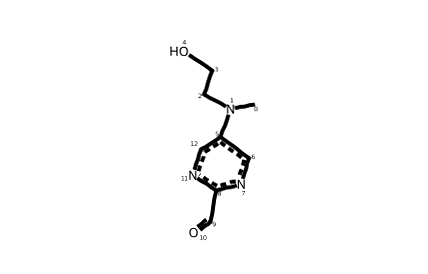 CN(CCO)c1cnc(C=O)nc1